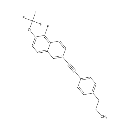 CCCc1ccc(C#Cc2ccc3c(F)c(OC(F)(F)F)ccc3c2)cc1